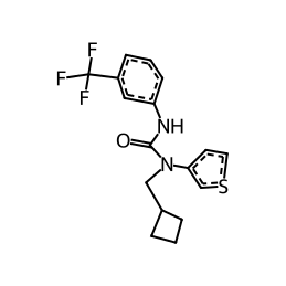 O=C(Nc1cccc(C(F)(F)F)c1)N(CC1CCC1)c1ccsc1